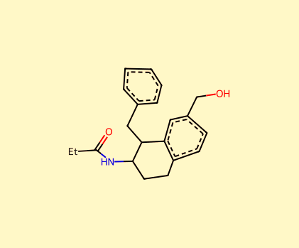 CCC(=O)NC1CCc2ccc(CO)cc2C1Cc1ccccc1